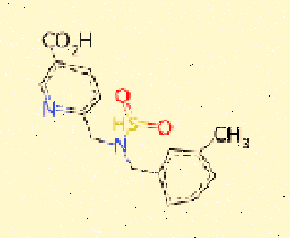 Cc1cccc(CN(Cc2ccc(C(=O)O)cn2)[SH](=O)=O)c1